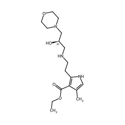 CCOC(=O)c1c(C)c[nH]c1CCNC[C@@H](O)CN1CCOCC1